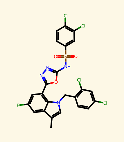 Cc1cn(Cc2ccc(Cl)cc2Cl)c2c(-c3nnc(NS(=O)(=O)c4ccc(Cl)c(Cl)c4)o3)cc(F)cc12